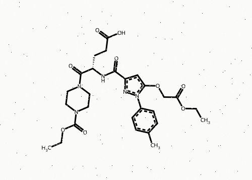 CCOC(=O)COc1cc(C(=O)N[C@@H](CCC(=O)O)C(=O)N2CCN(C(=O)OCC)CC2)nn1-c1ccc(C)cc1